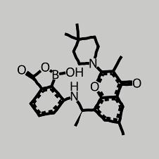 Cc1cc([C@@H](C)Nc2cccc3c2B(O)OC3=O)c2oc(N3CCC(C)(C)CC3)c(C)c(=O)c2c1